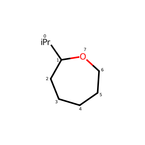 CC(C)C1CCCCCO1